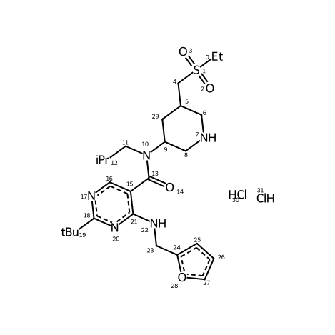 CCS(=O)(=O)CC1CNCC(N(CC(C)C)C(=O)c2cnc(C(C)(C)C)nc2NCc2ccco2)C1.Cl.Cl